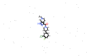 CC(=O)N1CCc2c(C(=O)N3CCC(C4=CC=CC(F)=C(Cl)C4)CC3)n[nH]c2C1